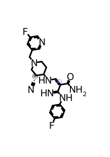 N#C[C@@H]1CN(Cc2cncc(F)c2)CCC1N/C=C(\C(=N)Nc1ccc(F)cc1)C(N)=O